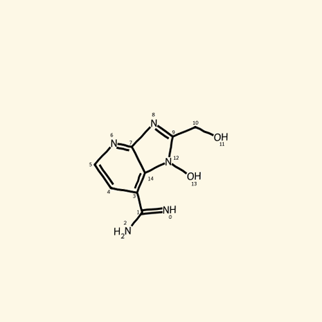 N=C(N)c1ccnc2nc(CO)n(O)c12